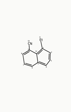 CCc1cccc2cccc(C#N)c12